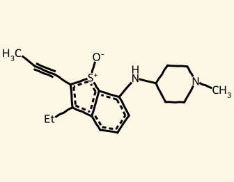 CC#Cc1c(CC)c2cccc(NC3CCN(C)CC3)c2[s+]1[O-]